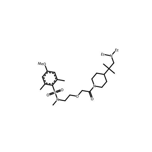 CCN(CC)CC(C)(C)C1CCN(C(=O)COCCN(C)S(=O)(=O)c2c(C)cc(OC)cc2C)CC1